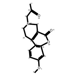 COc1ccc2c3c(c(=O)oc2c1)CN(CC(C)=O)CC3